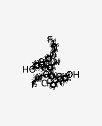 CC1=C(c2cccc(Cl)c2)C(c2ccc(OCCN3CC(CF)C3)c(-c3cc(C#N)cc(C4=C(C)c5cc(O)ccc5OC4c4ccc(OCCN5CC(CF)C5)cc4)c3)c2)Oc2cc(O)ccc21